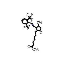 O=C(O)CCCCCCC1C(=O)CC(O)C1/C=C/c1c(C(F)(F)F)cccc1C(F)(F)F